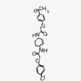 C[S+]([O-])c1ccc(OCC(=O)N[C@H]2CC[C@H](NC(=O)COc3ccc(Cl)cc3)CC2)cc1